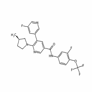 C[C@@H]1CCN(c2ncc(C(=O)Nc3ccc(OC(F)(F)F)c(F)c3)cc2-c2cncc(F)c2)C1